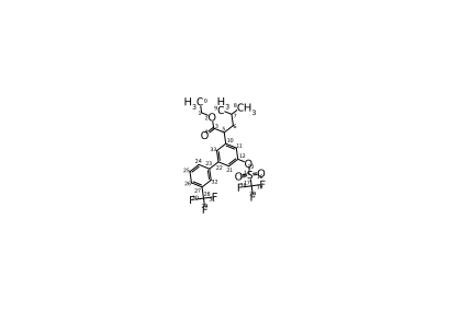 CCOC(=O)C(CC(C)C)c1cc(OS(=O)(=O)C(F)(F)F)cc(-c2cccc(C(F)(F)F)c2)c1